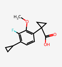 COc1c(C2(C(=O)O)CC2)ccc(C2CC2)c1F